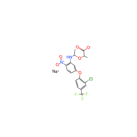 CC(Nc1cc(Oc2ccc(C(F)(F)F)cc2Cl)ccc1[N+](=O)[O-])OC(C)C(=O)[O-].[Na+]